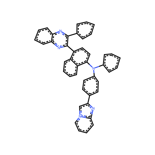 c1ccc(-c2nc3ccccc3nc2-c2ccc(N(c3ccccc3)c3ccc(-c4cn5ccccc5n4)cc3)c3ccccc23)cc1